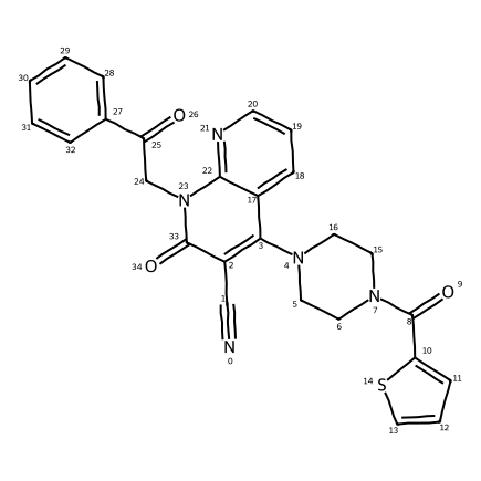 N#Cc1c(N2CCN(C(=O)c3cccs3)CC2)c2cccnc2n(CC(=O)c2ccccc2)c1=O